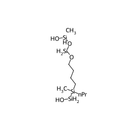 CCC[Si](C)(CCCCO[SiH2]O[SiH](C)O)[SiH2]O